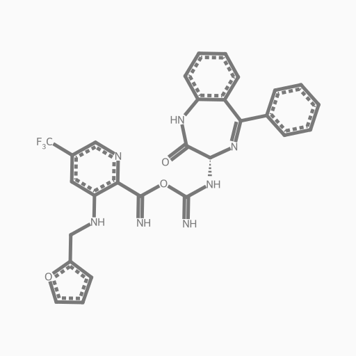 N=C(N[C@H]1N=C(c2ccccc2)c2ccccc2NC1=O)OC(=N)c1ncc(C(F)(F)F)cc1NCc1ccco1